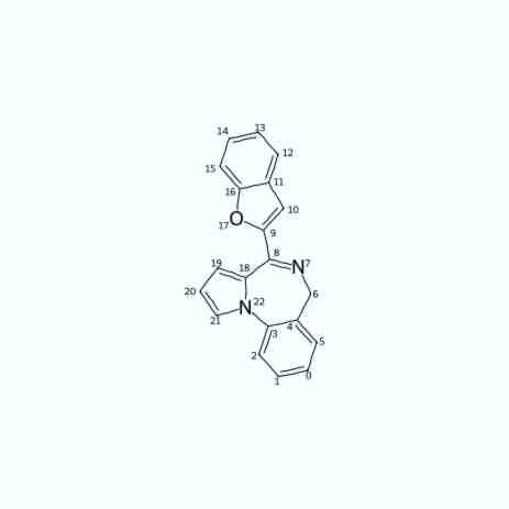 c1ccc2c(c1)CN=C(c1cc3ccccc3o1)c1cccn1-2